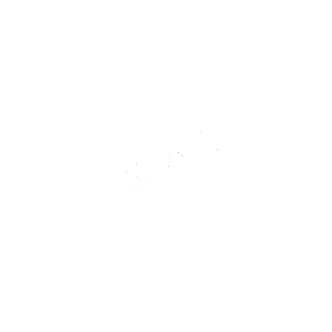 CC(CO)CNC(=O)c1cccc(S(=O)(=O)C(Br)(Br)Br)c1